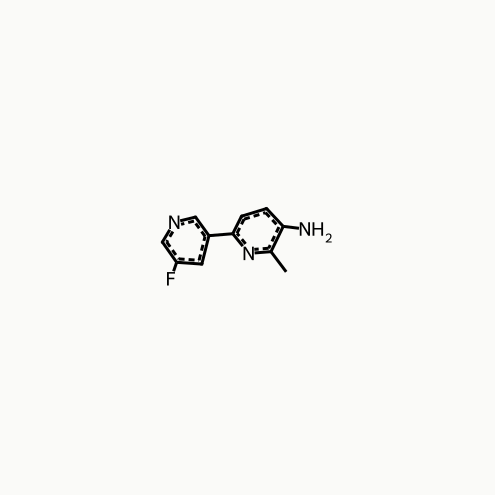 Cc1nc(-c2cncc(F)c2)ccc1N